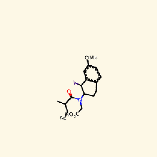 COc1ccc2c(c1)C(I)C(N(CC(=O)O)C(=O)C(C)CC(C)=O)CC2